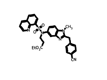 CCOC(=O)CCN(c1ccc2c(c1)nc(Cc1ccc(C#N)cc1)n2C)S(=O)(=O)c1cccc2cccnc12